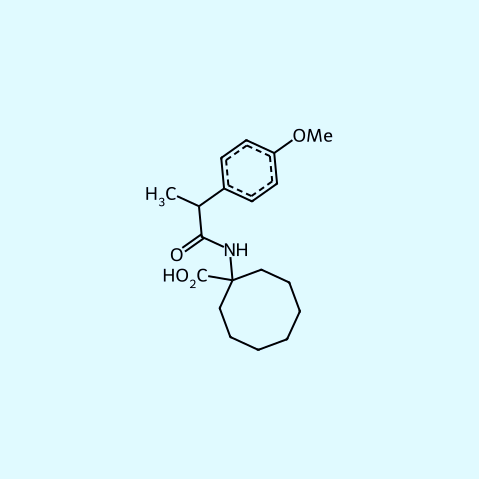 COc1ccc(C(C)C(=O)NC2(C(=O)O)CCCCCCC2)cc1